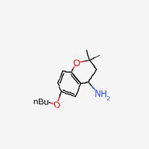 CCCCOc1ccc2c(c1)C(N)CC(C)(C)O2